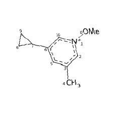 CO[n+]1cc(C)cc(C2CC2)c1